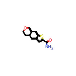 NC(=O)c1cc2c(s1)=CC1=COCCC1C=2